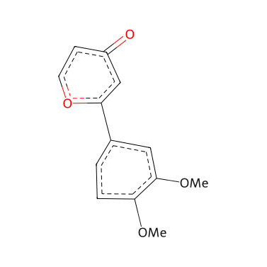 COc1ccc(-c2cc(=O)cco2)cc1OC